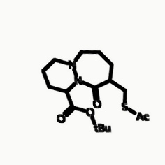 CC(=O)SCC1CCCN2CCCC(C(=O)OC(C)(C)C)N2C1=O